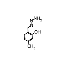 Cc1ccc(CN=NN)c(O)c1